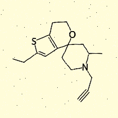 C#CCN1CCC2(CC1C)OCCc1sc(CC)cc12